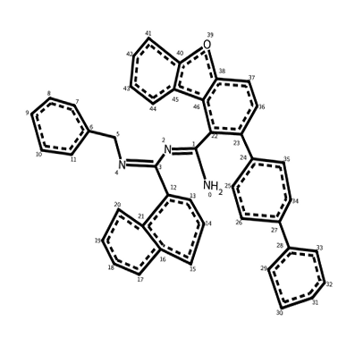 N/C(=N\C(=N/Cc1ccccc1)c1cccc2ccccc12)c1c(-c2ccc(-c3ccccc3)cc2)ccc2oc3ccccc3c12